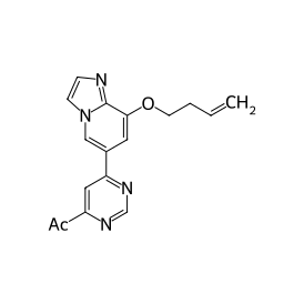 C=CCCOc1cc(-c2cc(C(C)=O)ncn2)cn2ccnc12